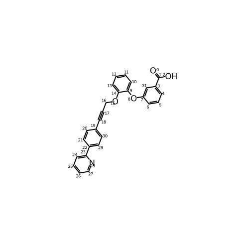 O=C(O)c1cccc(Oc2ccccc2OCC#Cc2ccc(-c3ccccn3)cc2)c1